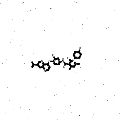 C=C(C)c1cnc2c(Oc3ccc(NC(=O)c4c(C)cc(C)n(-c5ccc(F)cc5)c4=O)cc3F)ccnc2c1